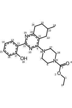 CCOC(=O)N1CCN(c2nc(-c3ccccc3O)nc3c2CC(C)CC3)CC1